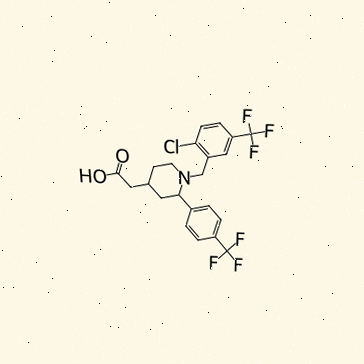 O=C(O)CC1CCN(Cc2cc(C(F)(F)F)ccc2Cl)C(c2ccc(C(F)(F)F)cc2)C1